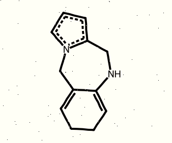 C1=C2Cn3cccc3CNC2=CCC1